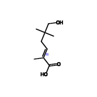 C/C(=C\CC(C)(C)CO)C(=O)O